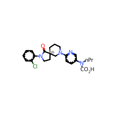 CCCN(C(=O)O)c1ccc(N2CCC[C@]3(CCN(c4ccccc4Cl)C3=O)C2)nc1